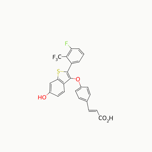 O=C(O)C=Cc1ccc(Oc2c(-c3cccc(F)c3C(F)(F)F)sc3cc(O)ccc23)cc1